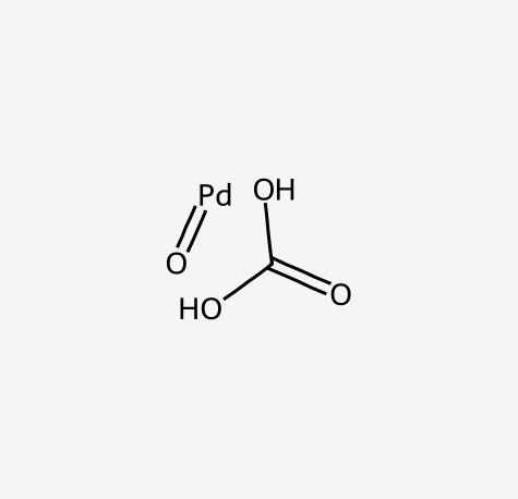 O=C(O)O.[O]=[Pd]